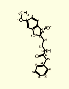 COc1ccc2c(c1)sc(CCNC(=O)Cc1ccccc1)[n+]2[O-]